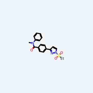 CCS(=O)(=O)n1ccc(-c2ccc(C(=O)N(C)c3ccccc3)cc2)n1